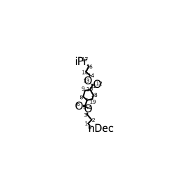 CCCCCCCCCCCCCOC(=O)C1CCC(C(=O)OCCCC(C)C)CC1